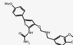 COc1ccc(-c2cc(OCNCc3ccc4c(c3)OCO4)c(NC(N)=O)s2)cc1